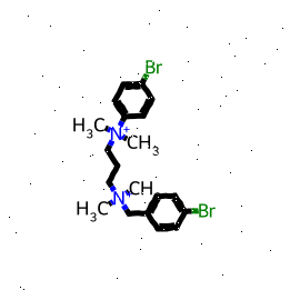 C[N+](C)(CCC[N+](C)(C)c1ccc(Br)cc1)Cc1ccc(Br)cc1